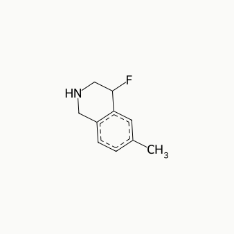 Cc1ccc2c(c1)C(F)CNC2